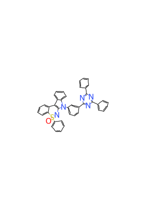 O=S1(c2ccccc2)=Nc2c(c3ccccc3n2-c2cccc(-c3nc(-c4ccccc4)nc(-c4ccccc4)n3)c2)-c2ccccc21